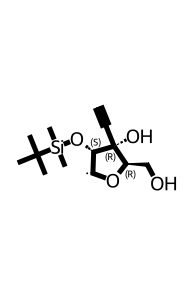 C#C[C@]1(O)[C@@H](O[Si](C)(C)C(C)(C)C)[CH]O[C@@H]1CO